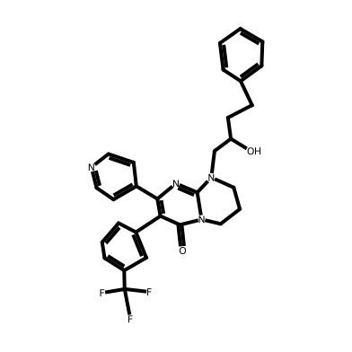 O=c1c(-c2cccc(C(F)(F)F)c2)c(-c2ccncc2)nc2n1CCCN2CC(O)CCc1ccccc1